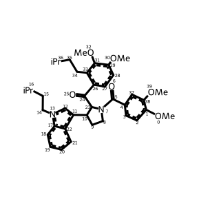 COc1ccc(C(=O)N2CCC(c3cn(CCC(C)C)c4ccccc34)C2C(=O)c2ccc(OC)c(OC)c2CCC(C)C)cc1OC